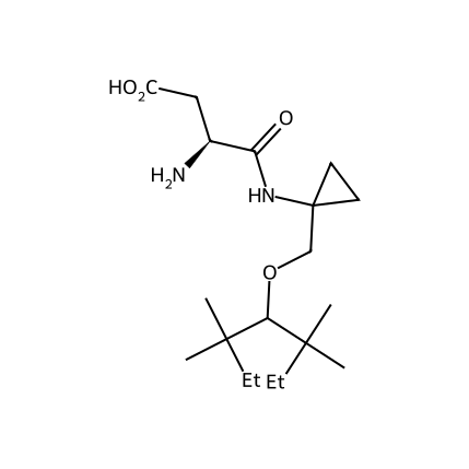 CCC(C)(C)C(OCC1(NC(=O)[C@@H](N)CC(=O)O)CC1)C(C)(C)CC